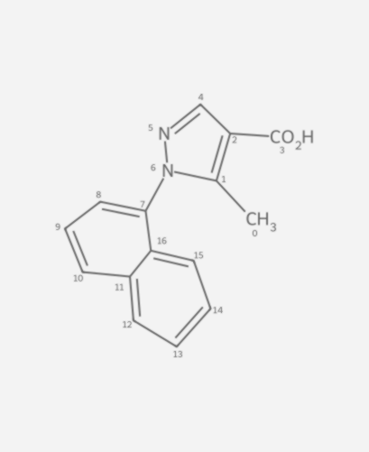 Cc1c(C(=O)O)cnn1-c1cccc2ccccc12